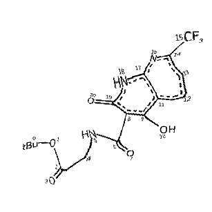 CC(C)(C)OC(=O)CNC(=O)c1c(O)c2ccc(C(F)(F)F)nc2[nH]c1=O